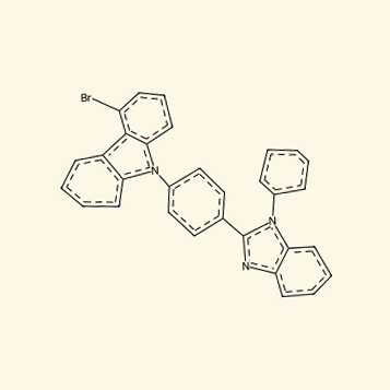 Brc1cccc2c1c1ccccc1n2-c1ccc(-c2nc3ccccc3n2-c2ccccc2)cc1